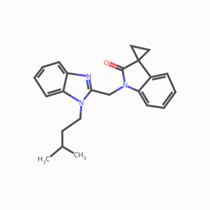 CC(C)CCn1c(CN2C(=O)C3(CC3)c3ccccc32)nc2ccccc21